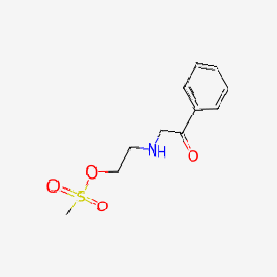 CS(=O)(=O)OCCNCC(=O)c1ccccc1